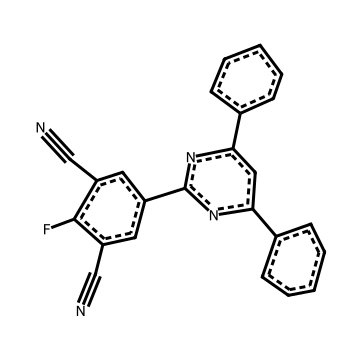 N#Cc1cc(-c2nc(-c3ccccc3)cc(-c3ccccc3)n2)cc(C#N)c1F